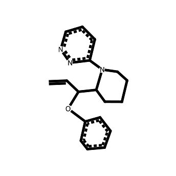 C=CC(Oc1ccccc1)C1CCCCN1c1cccnn1